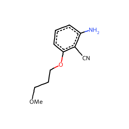 COCCCOc1cccc(N)c1C#N